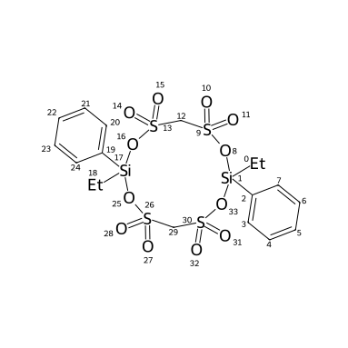 CC[Si]1(c2ccccc2)OS(=O)(=O)CS(=O)(=O)O[Si](CC)(c2ccccc2)OS(=O)(=O)CS(=O)(=O)O1